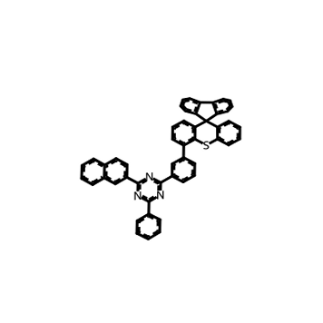 c1ccc(-c2nc(-c3cccc(-c4cccc5c4Sc4ccccc4C54c5ccccc5-c5ccccc54)c3)nc(-c3ccc4ccccc4c3)n2)cc1